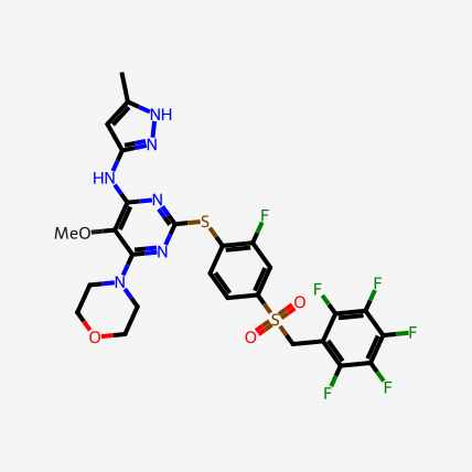 COc1c(Nc2cc(C)[nH]n2)nc(Sc2ccc(S(=O)(=O)Cc3c(F)c(F)c(F)c(F)c3F)cc2F)nc1N1CCOCC1